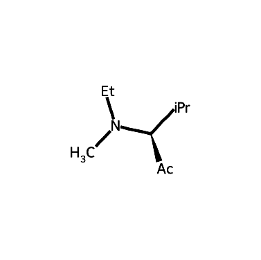 CCN(C)[C@H](C(C)=O)C(C)C